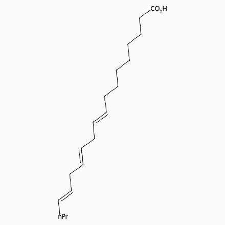 CCCC=CCC=CCC=CCCCCCCCC(=O)O